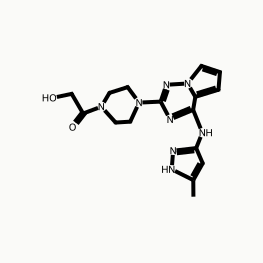 Cc1cc(Nc2nc(N3CCN(C(=O)CO)CC3)nn3cccc23)n[nH]1